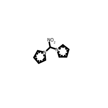 O=[N+]([O-])C(n1cccc1)n1cccc1